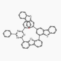 c1ccc(-c2nc(-c3ccccc3)nc(-c3cccc4c3oc3c(-c5cc(-c6ccc7c(c6)sc6ccccc67)cc6c5sc5ccccc56)cccc34)n2)cc1